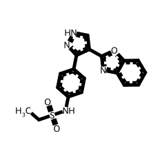 CCS(=O)(=O)Nc1ccc(-c2n[nH]cc2-c2nc3ccccc3o2)cc1